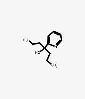 CCCC(O)(CCC)c1ccccn1